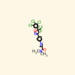 CN(C)C(=O)C1CN(c2ccc(C3=NOC(c4cc(Cl)c(Cl)c(Cl)c4)(C(F)(F)F)C3)cc2)C1